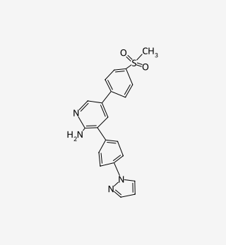 CS(=O)(=O)c1ccc(-c2cnc(N)c(-c3ccc(-n4cccn4)cc3)c2)cc1